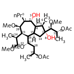 CCC[C@H]1[C@H](O)[C@H]2[C@@H](C)[C@@](O)([C@@H](OC)[C@@H](C)OC(C)=O)C[C@H]2C([C@H](C[C@H](C)OC(C)=O)OC)[C@@H]([C@H](C)COC)[C@H]1OC